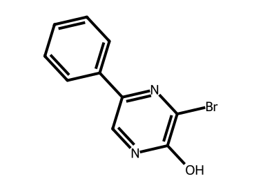 Oc1ncc(-c2ccccc2)nc1Br